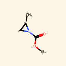 C[C@@H]1CN1C(=O)OC(C)(C)C